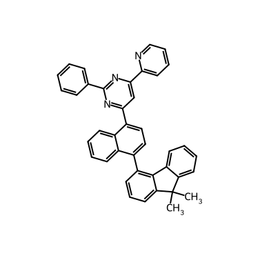 CC1(C)c2ccccc2-c2c(-c3ccc(-c4cc(-c5ccccn5)nc(-c5ccccc5)n4)c4ccccc34)cccc21